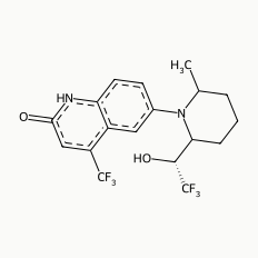 CC1CCCC([C@@H](O)C(F)(F)F)N1c1ccc2[nH]c(=O)cc(C(F)(F)F)c2c1